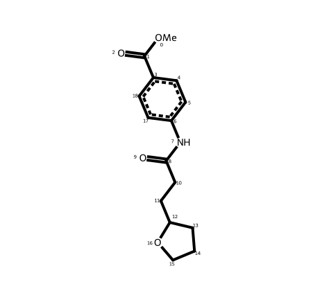 COC(=O)c1ccc(NC(=O)CCC2CCCO2)cc1